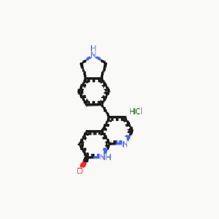 Cl.O=c1ccc2c(-c3ccc4c(c3)CNC4)ccnc2[nH]1